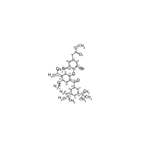 COC(=O)Cc1cc(Br)c(Oc2cc(C(C)C)c(OC)cc2C(=O)c2cc(C(C)(C)C)cc(C(C)(C)C)c2)c(Br)c1